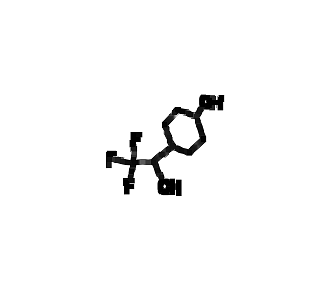 OC1CCC(C(O)C(F)(F)F)CC1